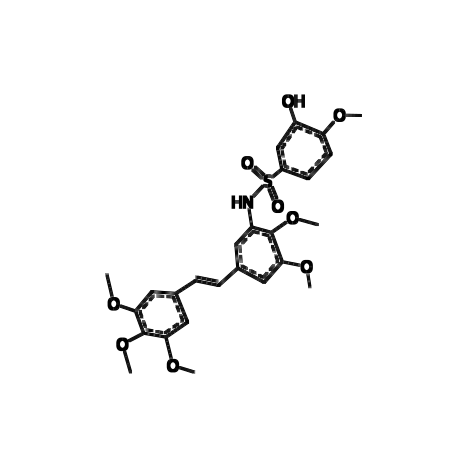 COc1ccc(S(=O)(=O)Nc2cc(C=Cc3cc(OC)c(OC)c(OC)c3)cc(OC)c2OC)cc1O